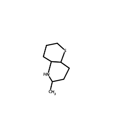 CC1CCC2SCCCC2N1